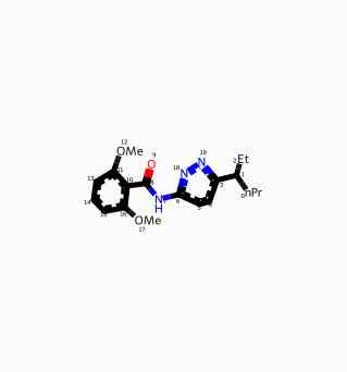 CCCC(CC)c1ccc(NC(=O)c2c(OC)cccc2OC)nn1